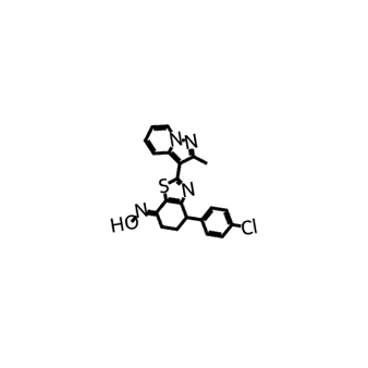 Cc1nn2ccccc2c1-c1nc2c(s1)C(=NO)CCC2c1ccc(Cl)cc1